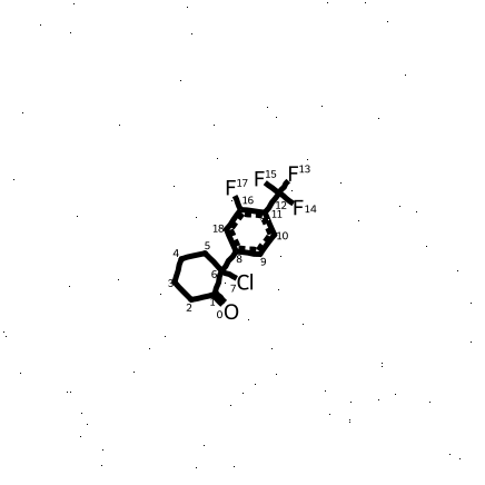 O=C1CCCCC1(Cl)c1ccc(C(F)(F)F)c(F)c1